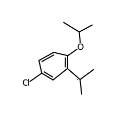 C[C](C)c1cc(Cl)ccc1OC(C)C